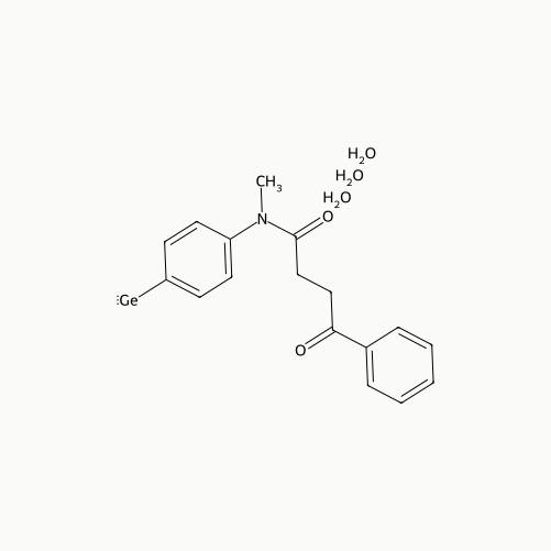 CN(C(=O)CCC(=O)c1ccccc1)c1cc[c]([Ge])cc1.O.O.O